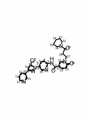 O=C(Nc1ccc(-n2nc(-c3cccnc3)cc2C(F)(F)F)cn1)c1ccc(=O)n(CCC(=O)N2CCCCC2)c1